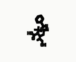 CC(CO)C(Cc1nnc(-c2ccccc2)o1)N(C(=O)O)C(C)(C)C